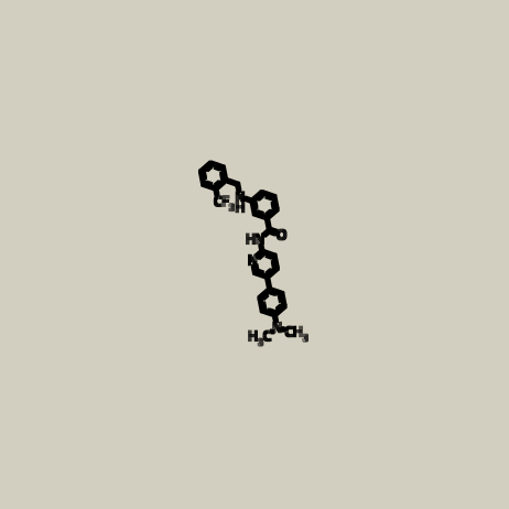 CN(C)c1ccc(-c2ccc(NC(=O)c3cccc(NCc4ccccc4C(F)(F)F)c3)nc2)cc1